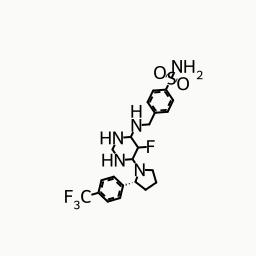 NS(=O)(=O)c1ccc(CNC2NCNC(N3CCC[C@@H]3c3ccc(C(F)(F)F)cc3)C2F)cc1